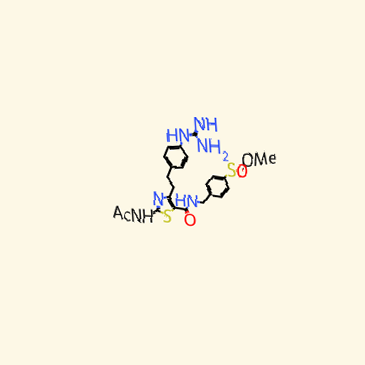 COOSc1ccc(CNC(=O)c2sc(NC(C)=O)nc2CCc2ccc(NC(=N)N)cc2)cc1